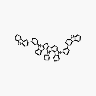 c1ccc(-n2c3c(ccc4c3c3ccccc3n4-c3cccc(-c4ccc5oc6ccccc6c5c4)c3)c3ccc4c(c5ccccc5n4-c4cccc(-c5ccc6oc7ccccc7c6c5)c4)c32)cc1